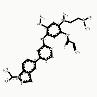 C=CC(=O)Nc1cc(Nc2cc(-c3ccc4c(cnn4C(C)C)c3)ncn2)c(OC)cc1N(C)CCN(C)C